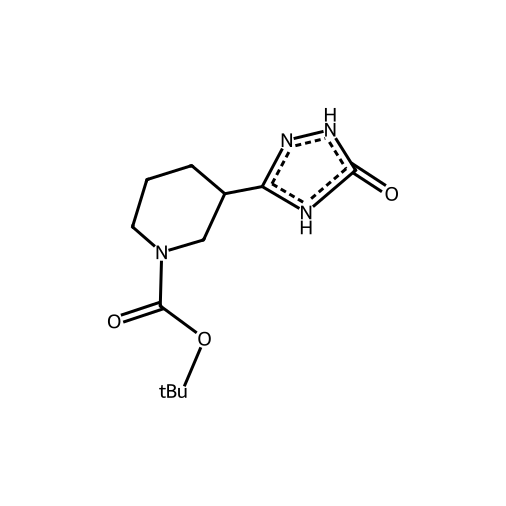 CC(C)(C)OC(=O)N1CCCC(c2n[nH]c(=O)[nH]2)C1